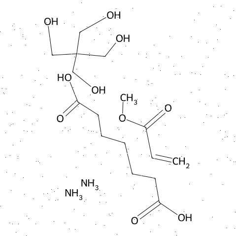 C=CC(=O)OC.N.N.O=C(O)CCCCCC(=O)O.OCC(CO)(CO)CO